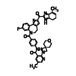 CC1=CCCc2[nH]c(C(=O)c3cc4c(s3)-c3ccc(F)cc3N(C(=O)c3ccc(NC(=O)c5cc(C)cnc5N5CC6(CCOCC6)C5)cc3)CC4)nc21